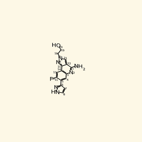 Nc1nc2cc(-c3cc[nH]n3)c(F)cc2c2nn(CCO)cc12